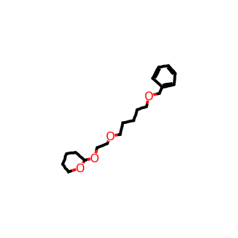 c1ccc(COCCCCCOCCOC2CCCCO2)cc1